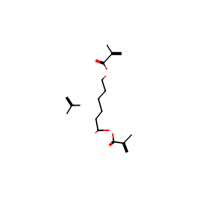 C=C(C)C(=O)O.C=C(C)C(=O)OCCCCCC(O)OC(=O)C(=C)C